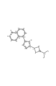 CC(C)N1CC(c2ncc(-c3cccc4ncccc34)s2)C1